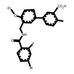 CCOc1ccc(-c2ccc(C)c(C(=O)O)c2)cc1CNC(=O)c1ccc(Br)cc1F